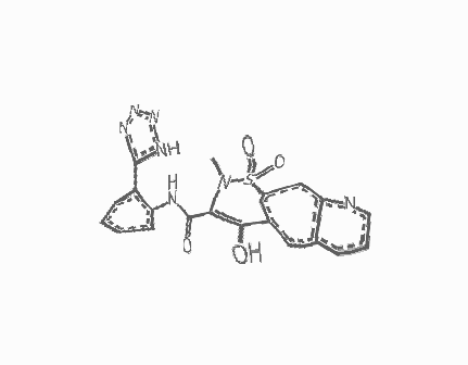 CN1C(C(=O)Nc2ccccc2-c2nnn[nH]2)=C(O)c2cc3cccnc3cc2S1(=O)=O